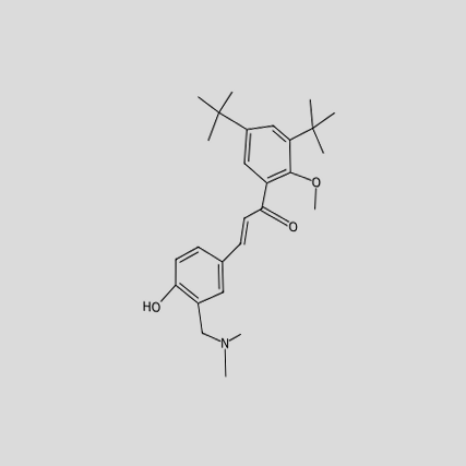 COc1c(C(=O)C=Cc2ccc(O)c(CN(C)C)c2)cc(C(C)(C)C)cc1C(C)(C)C